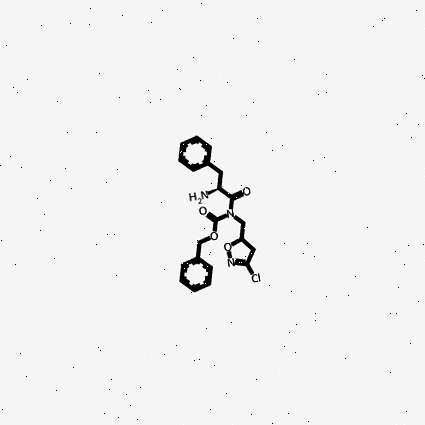 N[C@@H](Cc1ccccc1)C(=O)N(CC1CC(Cl)=NO1)C(=O)OCc1ccccc1